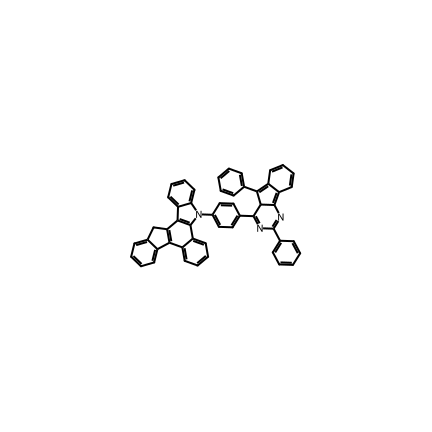 c1ccc(C2=NC3=c4ccccc4=C(c4ccccc4)C3C(c3ccc(-n4c5ccccc5c5c6c(c7ccccc7c54)-c4ccccc4C6)cc3)=N2)cc1